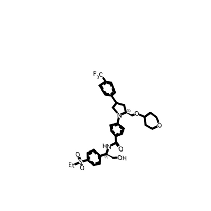 CCS(=O)(=O)c1ccc([C@H](CO)NC(=O)c2ccc(N3CC(c4ccc(C(F)(F)F)cc4)C[C@H]3COC3CCOCC3)cc2)cc1